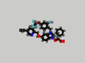 Cc1ccc(COc2ccc3nc([C@@H]4CCCC[C@@H]4C(=O)O)n(Cc4ccc(OC(F)(F)F)cc4F)c3c2)nc1